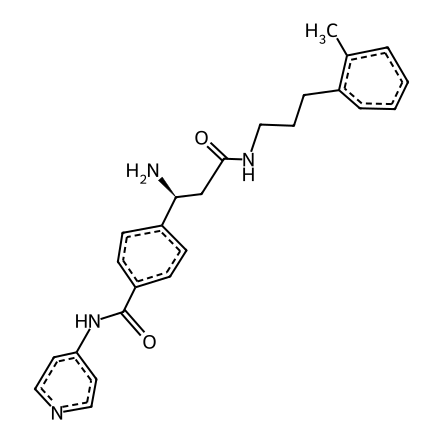 Cc1ccccc1CCCNC(=O)C[C@H](N)c1ccc(C(=O)Nc2ccncc2)cc1